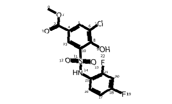 COC(=O)c1cc(Cl)c(O)c(S(=O)(=O)Nc2ccc(F)cc2F)c1